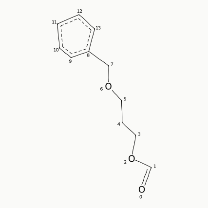 O=COCCCOCc1ccccc1